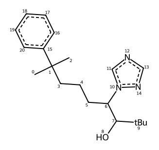 CC(C)(CCCC(C(O)C(C)(C)C)n1cncn1)c1ccccc1